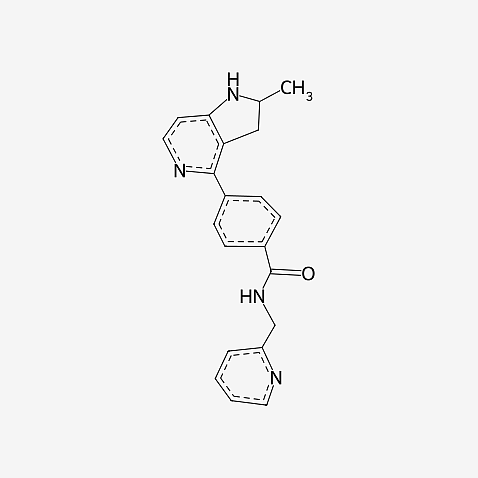 CC1Cc2c(ccnc2-c2ccc(C(=O)NCc3ccccn3)cc2)N1